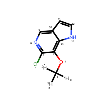 [2H]C([2H])([2H])Oc1c(Cl)ncc2cc[nH]c12